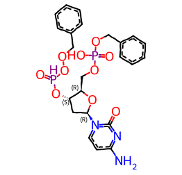 Nc1ccn([C@H]2C[C@H](O[PH](=O)OOCc3ccccc3)[C@@H](COP(=O)(O)OCc3ccccc3)O2)c(=O)n1